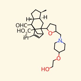 CC(C)C1=CC2CC3(C=O)[C@@H]4CC[C@@H](C)[C@H]4CC2(C2CCC(CN4CCC(OCCO)CC4)O2)C13C(=O)O